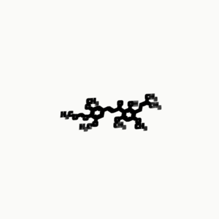 COCOc1c(OC)cc(/C=C/C(=O)c2c(OC)cc(OC)c(CC=C(C)C)c2O)cc1OC